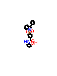 O=C(NC1CCCCC1O)c1ccc(S(=O)(=O)n2cc(-c3ccccc3)c3ccccc32)cc1